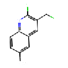 COc1ccc2nc(Cl)c(CCl)cc2c1